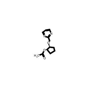 CC(=O)O[C@H]1CCC[C@@H]1OCc1ncccn1